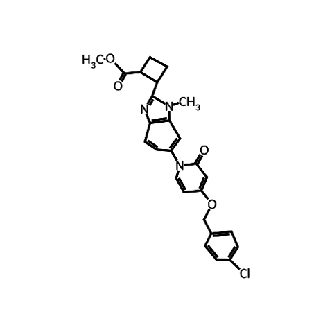 COC(=O)C1CCC1c1nc2ccc(-n3ccc(OCc4ccc(Cl)cc4)cc3=O)cc2n1C